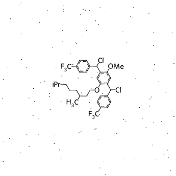 COc1cc(C(Cl)c2ccc(C(F)(F)F)cc2)c(OCCC(C)CCCC(C)C)cc1C(Cl)c1ccc(C(F)(F)F)cc1